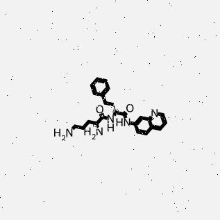 NCCC[C@H](N)C(=O)N[C@H](CCc1ccccc1)C(=O)Nc1ccc2cccnc2c1